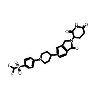 O=C1CCC(N2Cc3cc(C4CCN(c5ccc(S(=O)(=O)C(F)F)cc5)CC4)ccc3C2=O)C(=O)N1